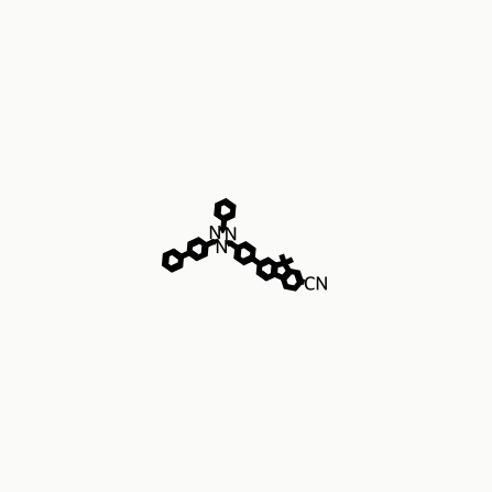 CC1(C)C2=C(CCC(C#N)=C2)c2ccc(-c3ccc(-c4nc(-c5ccccc5)nc(-c5ccc(-c6ccccc6)cc5)n4)cc3)cc21